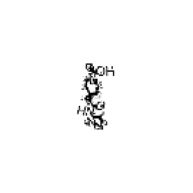 Cn1nccc1NC(=O)[C@H]1CC12CCN(C(=O)O)CC2